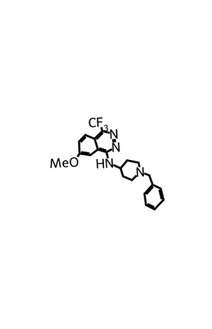 COc1ccc2c(C(F)(F)F)nnc(NC3CCN(Cc4ccccc4)CC3)c2c1